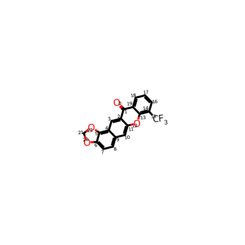 O=c1c2cc3c4c(ccc3cc2oc2c(C(F)(F)F)cccc12)OCO4